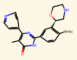 CC(=O)Nc1ccc(-c2nc(-c3ccncc3)c(C)c(=O)[nH]2)cc1[C@@H]1CNCCO1